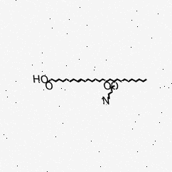 CCCCCCCCCC(CCCCCCCCC=CCCCCCCCC(=O)O)OC(=O)CCCN(C)C